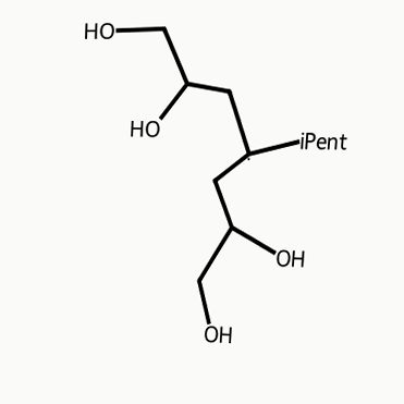 C[CH]CC(C)[C](CC(O)CO)CC(O)CO